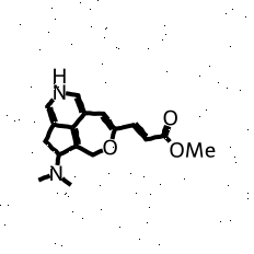 COC(=O)C=CC1=CC2=CNC=C3CC(N(C)C)C(=C23)CO1